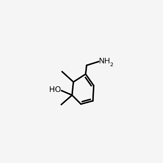 CC1C(CN)=CC=CC1(C)O